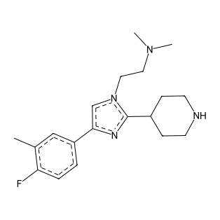 Cc1cc(-c2cn(CCN(C)C)c(C3CCNCC3)n2)ccc1F